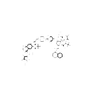 CNC(=O)OC(C)C(=O)NC(C(=O)N1C[C@@H](Oc2cnc(N3CCN(CCOc4cc5ncnc(Nc6n[nH]c(C)c6C)c5cc4S(=O)(=O)C(C)(C)C)CC3)nc2)C[C@H]1C(=O)N[C@@H]1CCCc2ccccc21)C(C)(C)C